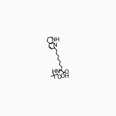 CC(C)(C)C(=O)N[C@@H](CCCCCCCc1ccc2c(n1)NCCC2)C(=O)O